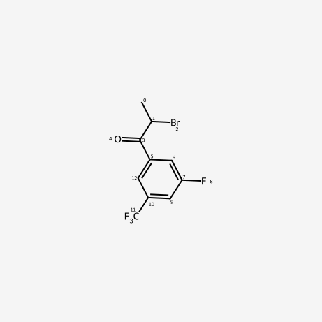 CC(Br)C(=O)c1cc(F)cc(C(F)(F)F)c1